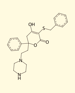 O=C1OC(CCN2CCNCC2)(c2ccccc2)CC(O)=C1SCc1ccccc1